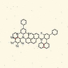 [2H]c1c([2H])c([2H])c(N(c2c(F)cc(-c3ccccc3)cc2-c2ccccc2)c2ccc3ccc4c(N(c5ccccc5)c5c(F)cc(-c6ccccc6)cc5-c5ccccc5)ccc5ccc2c3c54)c(F)c1[2H]